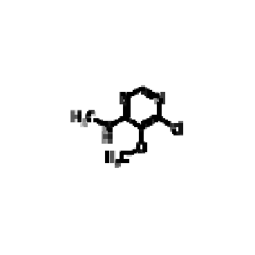 CNc1ncnc(Cl)c1OC